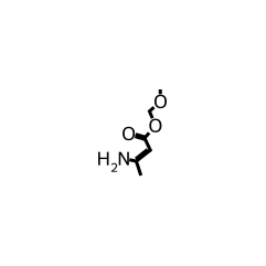 COCOC(=O)C=C(C)N